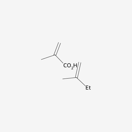 C=C(C)C(=O)O.C=C(C)CC